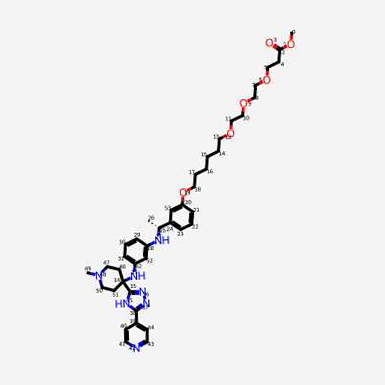 COC(=O)CCOCCOCCOCCCCCCOc1cccc([C@@H](C)Nc2cccc(NC3(c4nnc(-c5ccncc5)[nH]4)CCN(C)CC3)c2)c1